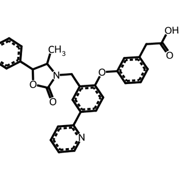 CC1C(c2ccccc2)OC(=O)N1Cc1cc(-c2ccccn2)ccc1Oc1cccc(CC(=O)O)c1